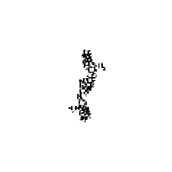 Nc1cc(Oc2ccc(C(c3ccc(Oc4ccc(C(F)(F)C(F)(F)C(F)(F)C(F)(F)F)c(N)c4)cc3)(C(F)(F)F)C(F)(F)F)cc2)ccc1C(F)(F)C(F)(F)C(F)(F)C(F)(F)F